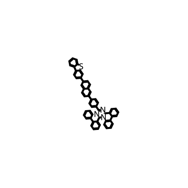 c1ccc(-c2ccccc2-c2nc(-c3ccc(-c4ccc5cc(-c6ccc7c(c6)sc6ccccc67)ccc5c4)cc3)nc(-c3ccccc3-c3ccccc3)n2)cc1